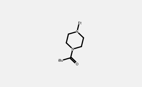 CCC(C)C(=O)N1CCN(CC)CC1